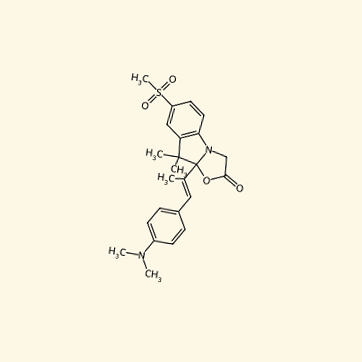 CC(=Cc1ccc(N(C)C)cc1)C12OC(=O)CN1c1ccc(S(C)(=O)=O)cc1C2(C)C